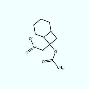 CC(=O)OC1(C[N+](=O)[O-])CC2CCCCC21